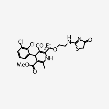 CCOC(=O)C1=C(COCCNC2=NC(=O)CS2)NC(C)=C(C(=O)OC)C1c1cccc(Cl)c1Cl